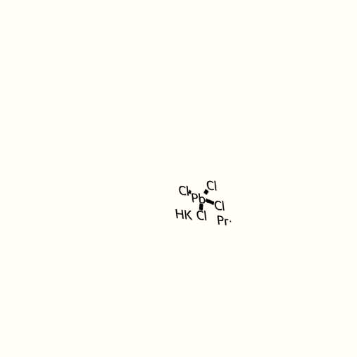 [Cl][Pb]([Cl])([Cl])[Cl].[KH].[Pr]